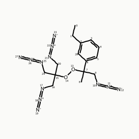 CCc1cccc(C(C)(CN=[N+]=[N-])OOC(CN=[N+]=[N-])(CN=[N+]=[N-])CN=[N+]=[N-])c1